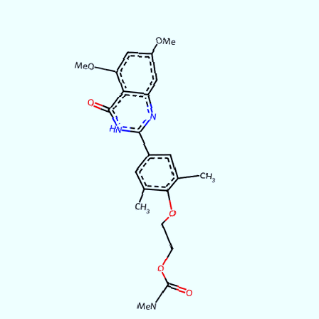 CNC(=O)OCCOc1c(C)cc(-c2nc3cc(OC)cc(OC)c3c(=O)[nH]2)cc1C